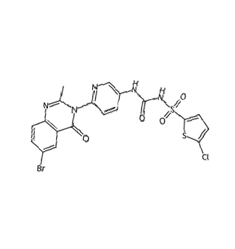 Cc1nc2ccc(Br)cc2c(=O)n1-c1ccc(NC(=O)NS(=O)(=O)c2ccc(Cl)s2)cn1